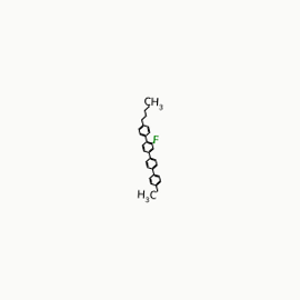 CCCCCc1ccc(-c2ccc(-c3ccc(-c4ccc(CC)cc4)cc3)cc2F)cc1